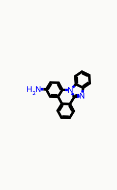 Nc1ccc2c(c1)c1ccccc1c1nc3ccccc3n21